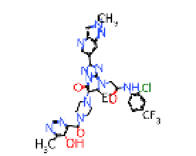 CCc1c(N2CCN(C(=O)c3ncnc(C)c3O)CC2)c(=O)n2nc(-c3cnc4cn(C)nc4c3)nc2n1CC(=O)Nc1ccc(C(F)(F)F)cc1Cl